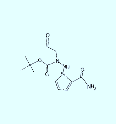 CC(C)(C)OC(=O)N(CC=O)Nn1cccc1C(N)=O